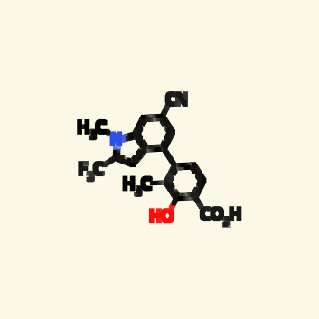 Cc1c(-c2cc(C#N)cc3c2cc(C(F)(F)F)n3C)ccc(C(=O)O)c1O